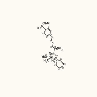 COC(=O)c1ccc(C=CCC[C@@H](N)[C@@H](COc2ccccc2)O[Si](C)(C)C(C)(C)C)cc1